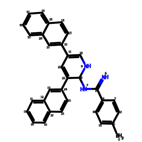 Bc1ccc(C(=N)NC2NC=C(c3ccc4ccccc4c3)C=C2c2ccc3ccccc3c2)cc1